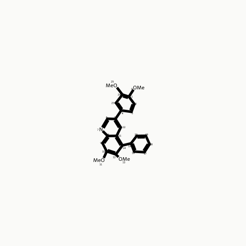 COc1ccc(-c2cnc3cc(OC)c(OC)c(-c4ccccc4)c3c2)cc1OC